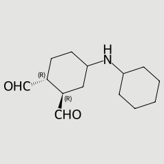 O=C[C@@H]1CCC(NC2CCCCC2)C[C@H]1C=O